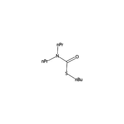 CCCCSC(=O)N(CCC)CCC